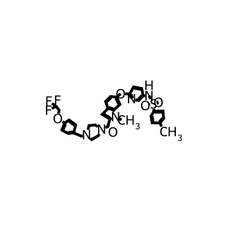 Cc1ccc(S(=O)(=O)Nc2ccc(Oc3ccc4cc(C(=O)N5CCN(Cc6ccc(OCC(F)(F)F)cc6)CC5)n(C)c4c3)nc2)cc1